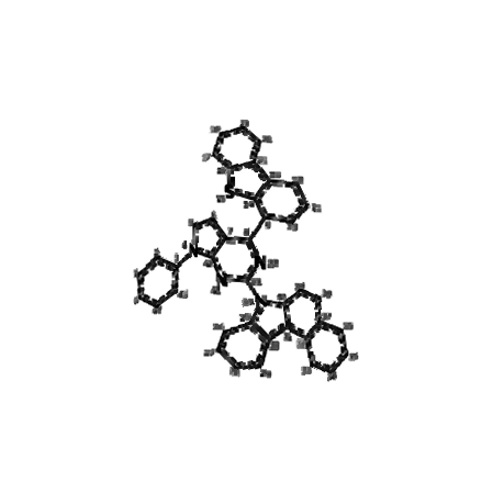 c1ccc(-n2ccc3c(-c4cccc5c4sc4ccccc45)nc(-n4c5ccccc5c5c6ccccc6ccc54)nc32)cc1